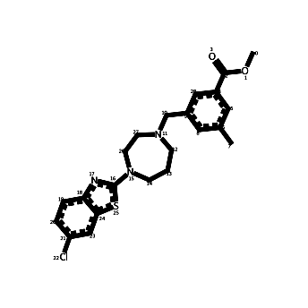 COC(=O)c1cc(C)cc(CN2CCCN(c3nc4ccc(Cl)cc4s3)CC2)c1